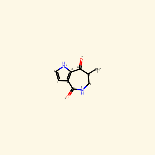 CCCC1CNC(=O)c2cc[nH]c2C1=O